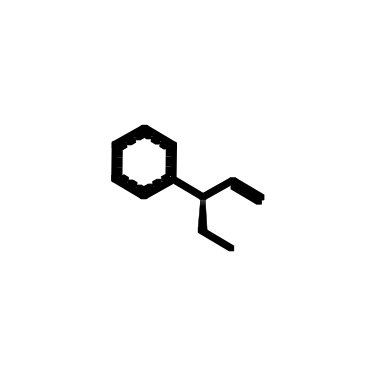 C=C[C@@H](CC)c1ccccc1